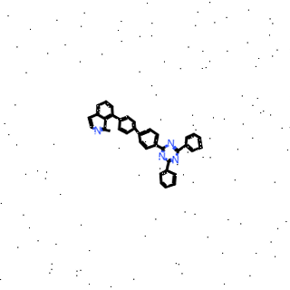 Cc1nccc2cccc(-c3ccc(-c4ccc(-c5nc(-c6ccccc6)nc(-c6ccccc6)n5)cc4)cc3)c12